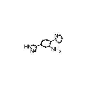 Nc1cc(-c2cn[nH]c2)ccc1-c1ccccn1